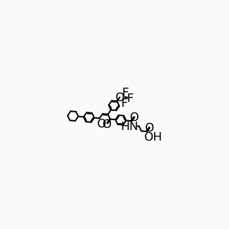 O=C(O)CCNC(=O)c1ccc(C(=O)/C(=C\C(=O)c2ccc(C3CCCCC3)cc2)c2ccc(OC(F)(F)F)cc2)cc1